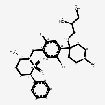 CC(=O)N1CCC(OC[C@@H](O)CO)(c2cc(F)c(CN3[C@@H](C)CC[C@H](c4ccccc4)S3(=O)=O)cc2F)CC1